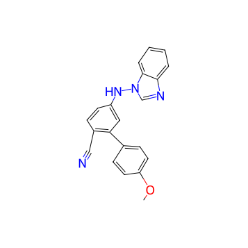 COc1ccc(-c2cc(Nn3cnc4ccccc43)ccc2C#N)cc1